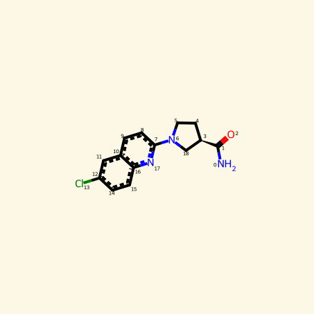 NC(=O)[C@@H]1CCN(c2ccc3cc(Cl)ccc3n2)C1